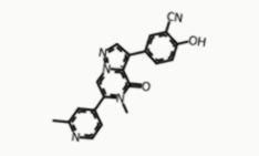 Cc1cc(-c2cn3ncc(-c4ccc(O)c(C#N)c4)c3c(=O)n2C)ccn1